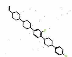 C=CC1CCC(C2CCC(c3ccc(C4CCC(c5ccc(F)cc5)CC4)c(F)c3)CC2)CC1